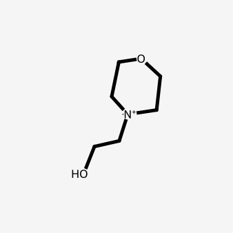 OCC[N+]1CCOCC1